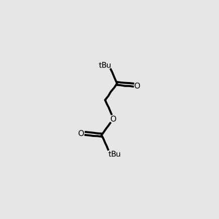 CC(C)(C)C(=O)COC(=O)C(C)(C)C